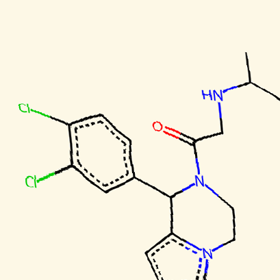 CC(C)NCC(=O)N1CCn2cccc2C1c1ccc(Cl)c(Cl)c1